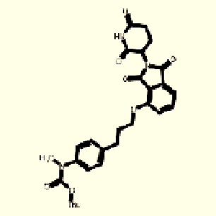 CN(C(=O)OC(C)(C)C)c1ccc(CCCOc2cccc3c2C(=O)N(C2CCC(=O)NC2=O)C3=O)cc1